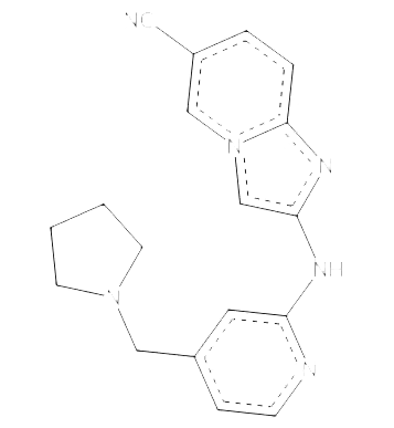 N#Cc1ccc2nc(Nc3cc(CN4CCCC4)ccn3)cn2c1